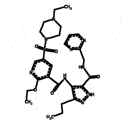 CCCc1n[nH]c(C(=O)NCc2ncccn2)c1NC(=O)c1cc(S(=O)(=O)N2CCN(CC)CC2)cnc1OCC